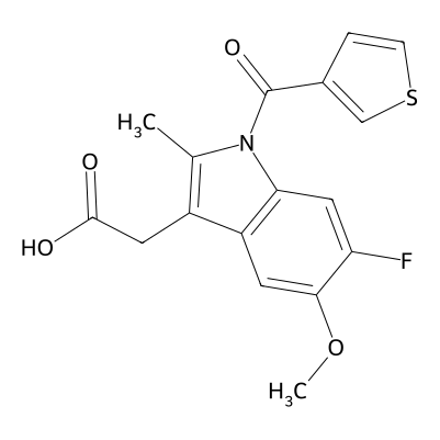 COc1cc2c(CC(=O)O)c(C)n(C(=O)c3ccsc3)c2cc1F